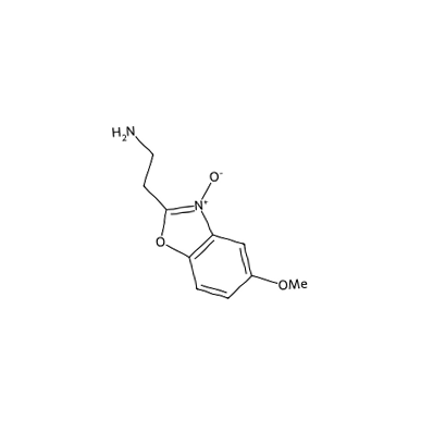 COc1ccc2oc(CCN)[n+]([O-])c2c1